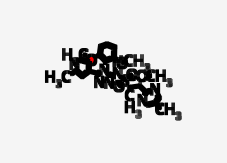 COc1cccc(OC)c1-n1c(NS(=O)(=O)[C@@H](C)[C@H](OC)c2ncc(C)cn2)nnc1-c1ccnc(C)c1